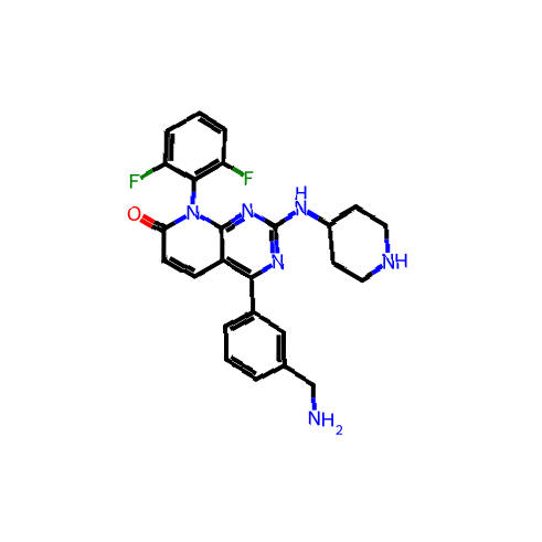 NCc1cccc(-c2nc(NC3CCNCC3)nc3c2ccc(=O)n3-c2c(F)cccc2F)c1